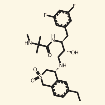 CCc1ccc2c(c1)[C@@H](NC[C@@H](O)[C@H](Cc1cc(F)cc(F)c1)NC(=O)C(C)(C)NC)CS(=O)(=O)C2